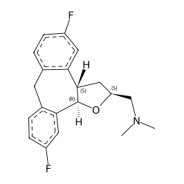 CN(C)C[C@@H]1C[C@H]2c3cc(F)ccc3Cc3ccc(F)cc3[C@@H]2O1